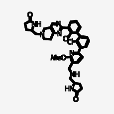 COc1nc(-c2cccc(-c3cccc(-c4ncc5c(n4)CCN(CC4CCC(=O)N4)C5)c3Cl)c2Cl)ccc1CNCC1CCC(=O)N1